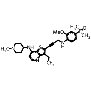 COc1cc(P(C)(C)=O)ccc1NCC#Cc1sc2c(NC3CCN(C)CC3)ccnc2c1CC(F)(F)F